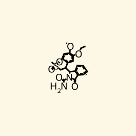 CCOc1cc(C(CS(C)(=O)=O)C2c3ccc[c]c3C(=O)N2C(N)=O)ccc1OC